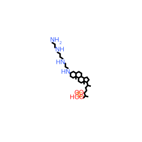 CC(C)C(CCC(C)C1CCC2C3CCC4CC(NCCCNCCCCNCCCN)CCC4(C)C3CCC12C)OS(=O)(=O)O